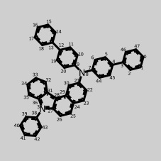 c1ccc(-c2ccc(N(c3ccc(-c4ccccc4)cc3)c3ccc4ccc5c(c4c3)c3ccccc3n5-c3ccccc3)cc2)cc1